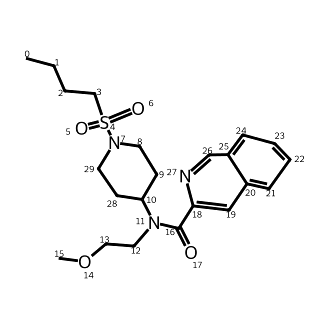 CCCCS(=O)(=O)N1CCC(N(CCOC)C(=O)c2cc3ccccc3cn2)CC1